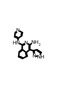 Nc1nc(Nc2ccncc2)c2ccccc2c1-c1cc[nH]n1